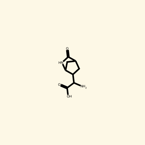 NC(C(=O)O)C1CC2CC1NC2=O